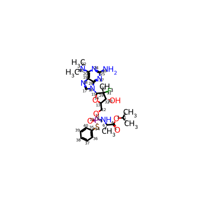 CC(C)OC(=O)[C@H](C)NP(=O)(OCC1O[C@@H](n2cnc3c(N(C)C)nc(N)nc32)[C@](C)(F)[C@@H]1O)Sc1ccccc1